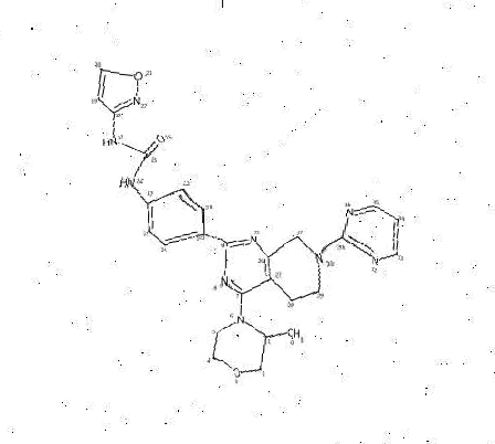 CC1COCCN1c1nc(-c2ccc(NC(=O)Nc3ccon3)cc2)nc2c1CCN(c1ncccn1)C2